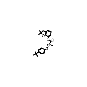 CN(SSc1ccc(C(C)(C)C)cc1)C(=O)Oc1cccc2c1OC(C)(C)C2